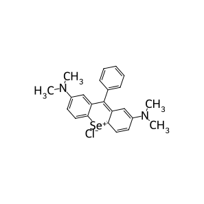 CN(C)c1ccc2[se+]c3ccc(N(C)C)cc3c(-c3ccccc3)c2c1.[Cl-]